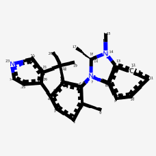 Cc1ccc2c(c1N1c3ccccc3N(C)[C@@H]1C)C(C)(C)c1cnccc1-2